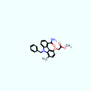 COC(=O)COc1ccc(C)c2c1c1c(C(N)=O)cccc1n2Cc1ccccc1